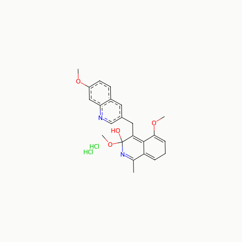 COC1=CCC=C2C(C)=NC(O)(OC)C(Cc3cnc4cc(OC)ccc4c3)=C12.Cl.Cl